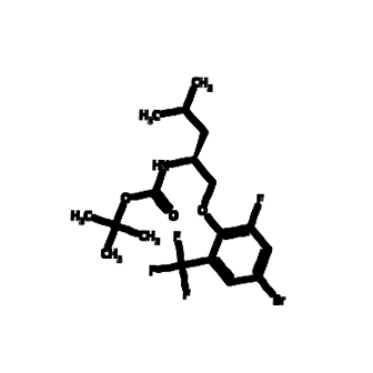 CC(C)C[C@@H](COc1c(F)cc(Br)cc1C(F)(F)F)NC(=O)OC(C)(C)C